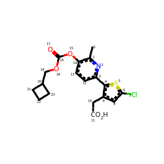 Cc1nc(-c2sc(Cl)cc2CC(=O)O)ccc1OC(=O)OCC1CCC1